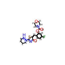 O=C1N=C(N2CCCCN2)S/C1=C/c1ccc(F)cc1OC(=O)N1CCOCC1